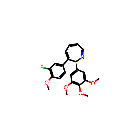 COc1ccc(C2=CC=CC=N[C@H]2c2cc(OC)c(OC)c(OC)c2)cc1F